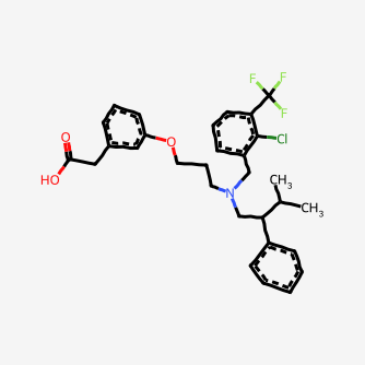 CC(C)C(CN(CCCOc1cccc(CC(=O)O)c1)Cc1cccc(C(F)(F)F)c1Cl)c1ccccc1